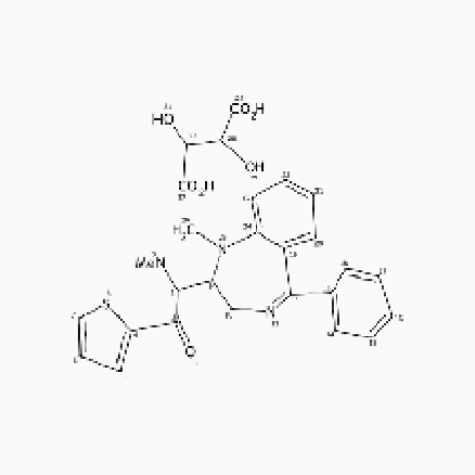 CNC(C(=O)c1cccs1)C1CN=C(c2ccccc2)c2ccccc2N1C.O=C(O)C(O)C(O)C(=O)O